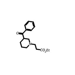 CCOC(=O)CCN1CCCC(C(=O)c2ccccc2)C1